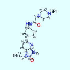 CC(C)N1CCN(CC(=O)NC2CC=C(c3ccc4c(n3)n(C)c(=O)n4CC(C)(C)C)CC2)CC1